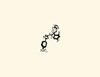 C[C@@H](Sc1nc(-c2ccc([N+](=O)[O-])cc2)ns1)C(O)(Cn1cncn1)c1ccc(F)cc1F